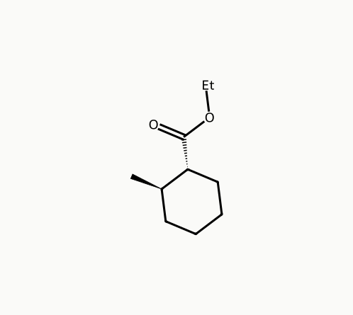 CCOC(=O)[C@@H]1CCCC[C@H]1C